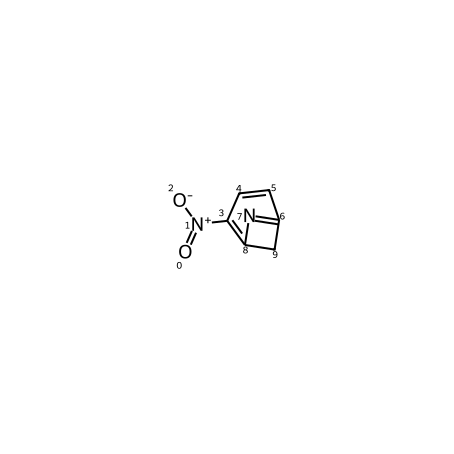 O=[N+]([O-])c1ccc2nc1C2